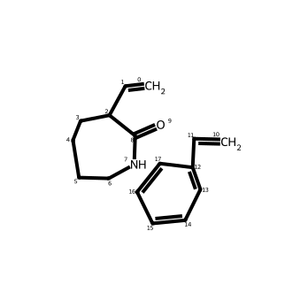 C=CC1CCCCNC1=O.C=Cc1ccccc1